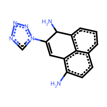 Nc1ccc2cccc3c2c1C=C(n1cnnn1)C3N